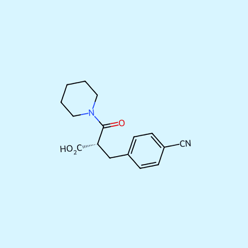 N#Cc1ccc(C[C@H](C(=O)O)C(=O)N2CCCCC2)cc1